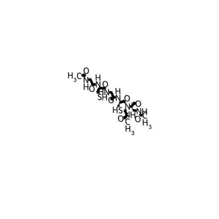 CC(=O)NCC(=O)NC(CS)C(=O)NCC(=O)N[C@H](CS)C(=O)N(CNC(C)=O)[C@H]([C]=O)CNC(C)=O